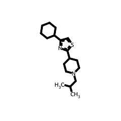 CC(C)CN1CCC(c2nc(C3CCCCC3)cs2)CC1